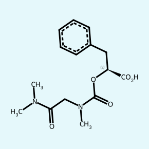 CN(C)C(=O)CN(C)C(=O)O[C@@H](Cc1ccccc1)C(=O)O